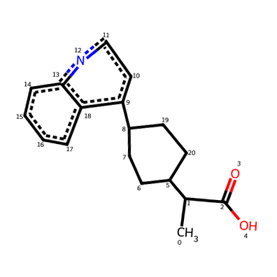 CC(C(=O)O)C1CCC(c2ccnc3ccccc23)CC1